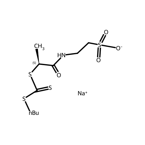 CCCCSC(=S)S[C@@H](C)C(=O)NCCS(=O)(=O)[O-].[Na+]